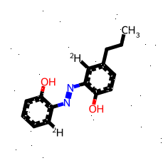 [2H]c1cccc(O)c1N=Nc1c(O)ccc(CCC)c1[2H]